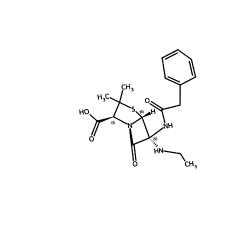 CCN[C@]1(NC(=O)Cc2ccccc2)C(=O)N2[C@@H](C(=O)O)C(C)(C)S[C@@H]21